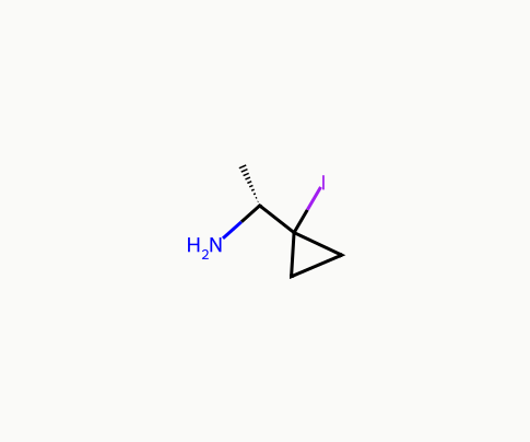 C[C@@H](N)C1(I)CC1